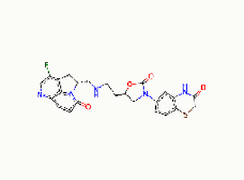 O=C1CSc2ccc(N3C[C@@H](CCNC[C@H]4Cc5c(F)cnc6ccc(=O)n4c56)OC3=O)cc2N1